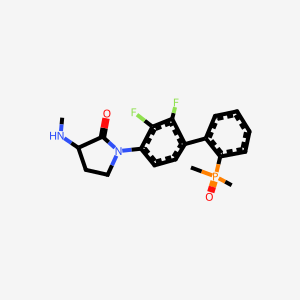 CNC1CCN(c2ccc(-c3ccccc3P(C)(C)=O)c(F)c2F)C1=O